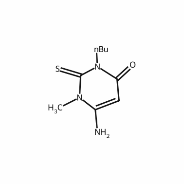 CCCCn1c(=O)cc(N)n(C)c1=S